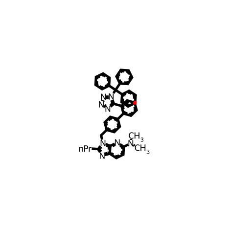 CCCc1nc2ccc(N(C)C)nc2n1Cc1ccc(-c2ccccc2-c2nnnn2C(c2ccccc2)(c2ccccc2)c2ccccc2)cc1